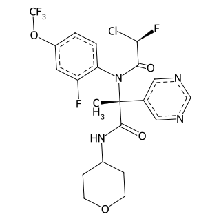 C[C@](C(=O)NC1CCOCC1)(c1cncnc1)N(C(=O)[C@H](F)Cl)c1ccc(OC(F)(F)F)cc1F